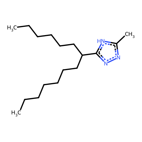 CCCCCCCC(CCCCCC)c1nnc(C)[nH]1